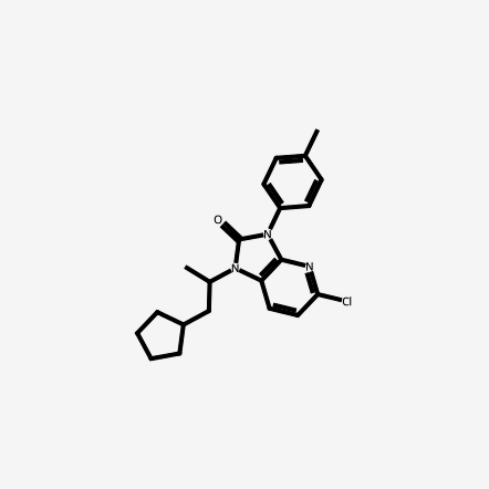 Cc1ccc(-n2c(=O)n(C(C)CC3CCCC3)c3ccc(Cl)nc32)cc1